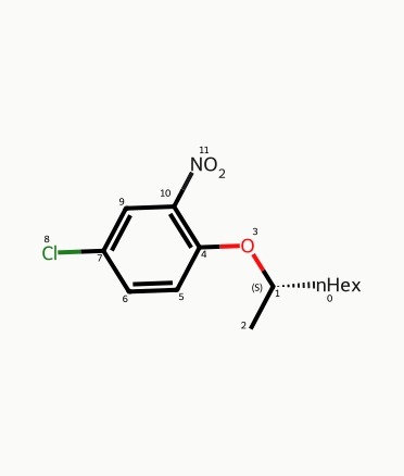 CCCCCC[C@H](C)Oc1ccc(Cl)cc1[N+](=O)[O-]